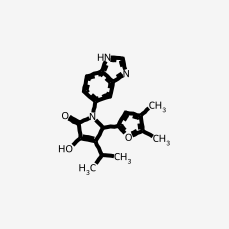 Cc1cc(C2C(C(C)C)=C(O)C(=O)N2c2ccc3[nH]cnc3c2)oc1C